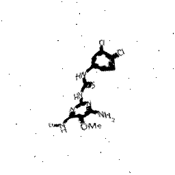 CCNc1nc(NC(=S)Nc2ccc(Cl)c(Cl)c2)nc(N)c1OC